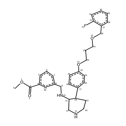 COC(=O)c1cccc(CNC2CNCCC2c2ccc(OCCCOCc3ccccc3F)cc2)n1